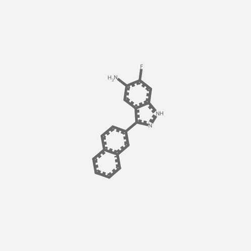 Nc1cc2c(-c3ccc4ccccc4c3)n[nH]c2cc1F